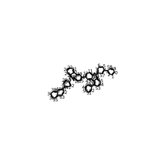 c1ccc(-c2cccc(-n3c4ccc(-c5ccc6c(c5)c5ccccc5n6-c5ccc(-c6ccc7ccccc7c6)cc5)cc4c4c(-c5ccccc5)cccc43)c2)cc1